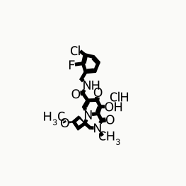 CO[C@H]1C[C@@]2(CN(C)C(=O)c3c(O)c(=O)c(C(=O)NCc4cccc(Cl)c4F)cn32)C1.Cl